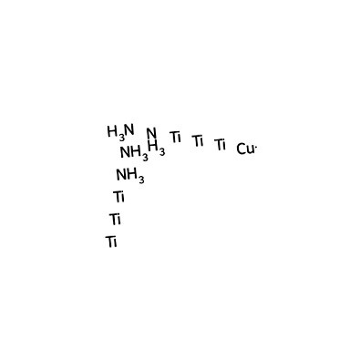 N.N.N.N.[Cu].[Ti].[Ti].[Ti].[Ti].[Ti].[Ti]